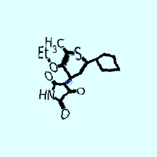 CCOC1=C(C)SC(C2CCCC2)=C/C1=C1/C(=O)NC(=O)C1=O